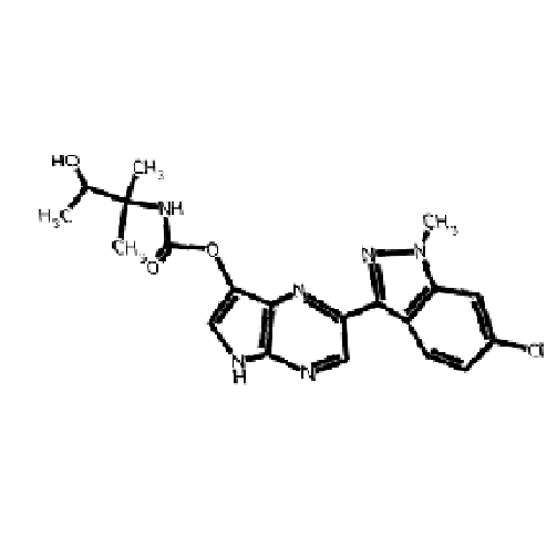 CC(O)C(C)(C)NC(=O)Oc1c[nH]c2ncc(-c3nn(C)c4cc(Cl)ccc34)nc12